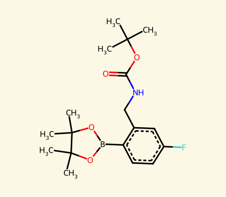 CC(C)(C)OC(=O)NCc1cc(F)ccc1B1OC(C)(C)C(C)(C)O1